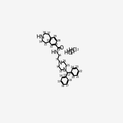 Cl.Cl.Cl.O=C(NCCN1CCN(C(c2ccccc2)c2ccccc2)CC1)c1ccc2c(c1)CCNCC2